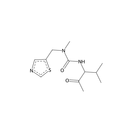 CC(=O)C(NC(=O)N(C)Cc1cncs1)C(C)C